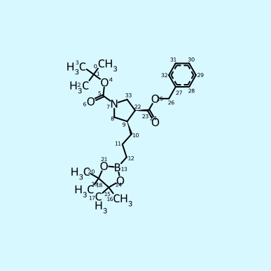 CC(C)(C)OC(=O)N1C[C@H](CCCB2OC(C)(C)C(C)(C)O2)[C@H](C(=O)OCc2ccccc2)C1